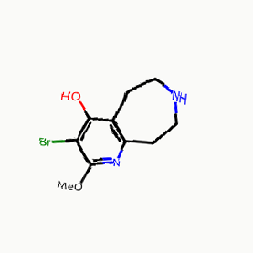 COc1nc2c(c(O)c1Br)CCNCC2